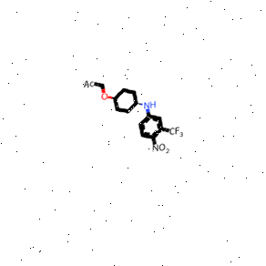 CC(=O)CO[C@H]1CC[C@H](Nc2ccc([N+](=O)[O-])c(C(F)(F)F)c2)CC1